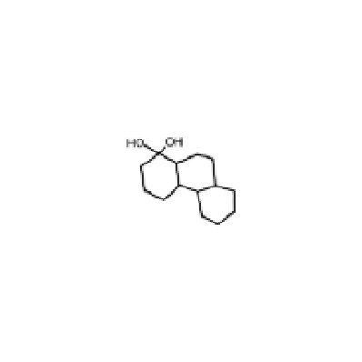 OC1(O)CCCC2C3CCCCC3CCC21